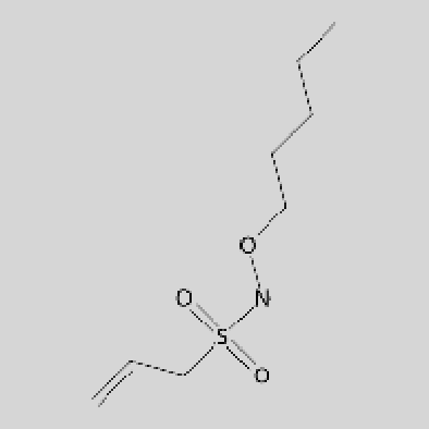 C=CCS(=O)(=O)[N]OCCCCC